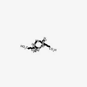 NC[C@]1(NC(=O)CCCC(=O)O)CNCCNC[C@@](CN)(NC(=O)CCCC(=O)O)NCCN1